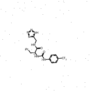 CC(C)C[C@H](NC(=O)Nc1ccc(C(F)(F)F)cc1)C(=O)NCc1nnn[nH]1